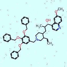 C=CC1CN(Cc2cc(OCc3ccccc3)c(OCc3ccccc3)c(OCc3ccccc3)c2)CCC1CC(C)[C@H](O)c1ccnc2ccc(OC)cc12